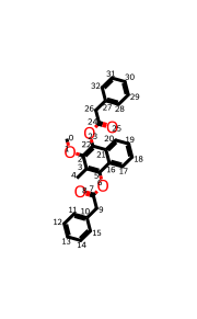 COc1c(C)c(OC(=O)Cc2ccccc2)c2ccccc2c1OC(=O)Cc1ccccc1